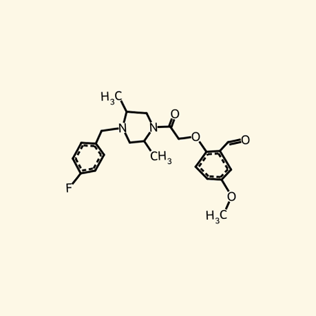 COc1ccc(OCC(=O)N2CC(C)N(Cc3ccc(F)cc3)CC2C)c(C=O)c1